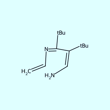 C=C/N=C(\C(=C/N)C(C)(C)C)C(C)(C)C